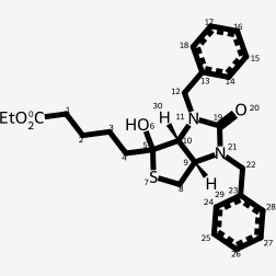 CCOC(=O)CCCCC1(O)SC[C@@H]2[C@H]1N(Cc1ccccc1)C(=O)N2Cc1ccccc1